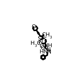 Cc1c(C#CC2CCOCC2)sc2c1SCC(NC(=O)c1nnc(Cc3ccccc3)[nH]1)C(=O)N2C